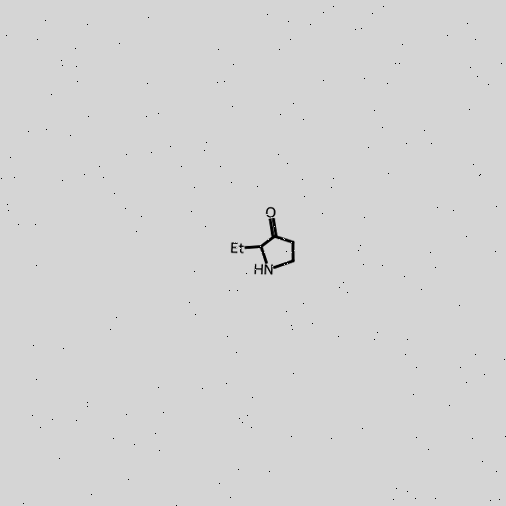 CCC1NCCC1=O